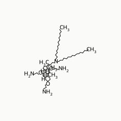 CCCCCCCCCCCCCCCCN(CCCCCCCCCCCCCCCC)CCC[C@@H](C)C1CC[C@H]2[C@@H]3[C@H](OCCCN)C[C@@H]4C[C@H](OCCCN)CC[C@]4(C)[C@H]3C[C@H](OCCCN)[C@]12C